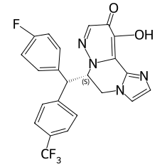 O=c1cnn2c(c1O)-c1nccn1C[C@@H]2C(c1ccc(F)cc1)c1ccc(C(F)(F)F)cc1